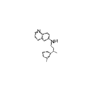 Cc1cccc(C(C)CCNc2ccc3ncccc3c2)c1